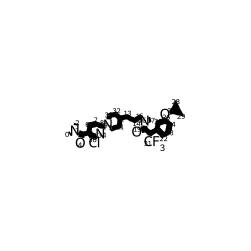 CN(C)C(=O)c1ccc(N2CCC(CCCN(C)C(=O)C(c3cccc(OC4CC4)c3)C(F)(F)F)CC2)nc1Cl